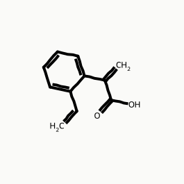 C=Cc1ccccc1C(=C)C(=O)O